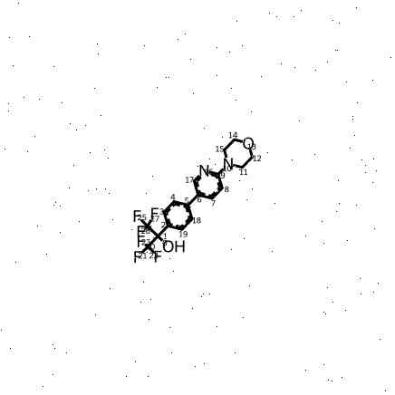 OC(c1ccc(-c2ccc(N3CCOCC3)nc2)cc1)(C(F)(F)F)C(F)(F)F